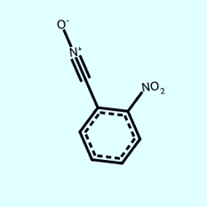 O=[N+]([O-])c1ccccc1C#[N+][O-]